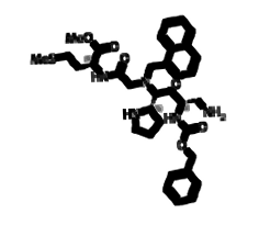 COC(=O)[C@H](CCSC)NC(=O)CN(Cc1cccc2ccccc12)C(C(=O)[C@H](CN)NC(=O)OCc1ccccc1)[C@@H]1CCCN1